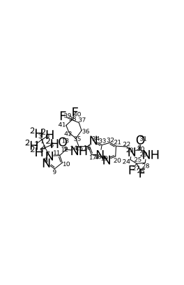 [2H]C([2H])([2H])C([2H])([2H])n1nccc1C(=O)N[C@H](c1cn2ncc(CN3CC(F)(F)CNC3=O)cc2n1)C1CCC(F)(F)CC1